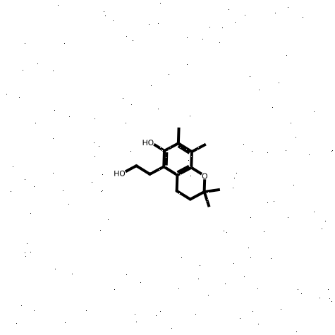 Cc1c(C)c2c(c(CCO)c1O)CCC(C)(C)O2